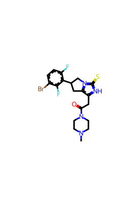 CN1CCN(C(=O)Cc2[nH]c(=S)n3c2CC(c2c(F)ccc(Br)c2F)C3)CC1